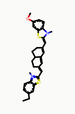 CCc1ccc2c(c1)sc(/C=C1/C=C3C=C(/C=C4\Sc5cc(OC)ccc5N4C)CCC3CC1)[n+]2C